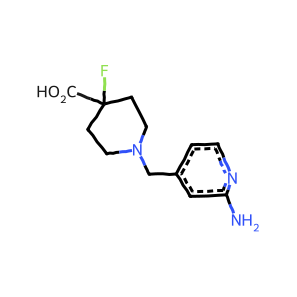 Nc1cc(CN2CCC(F)(C(=O)O)CC2)ccn1